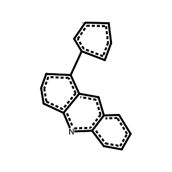 [c]1cccc(-c2cccc3nc4ccccc4cc23)c1